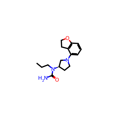 CCCN(C(N)=O)[C@@H]1CCN(c2cccc3c2CCO3)C1